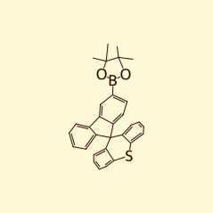 CC1(C)OB(c2ccc3c(c2)-c2ccccc2C32c3ccccc3Sc3ccccc32)OC1(C)C